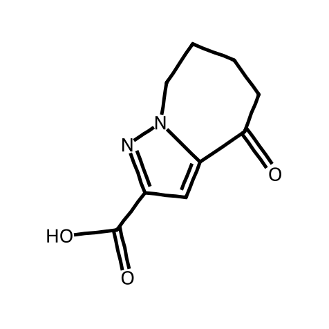 O=C(O)c1cc2n(n1)CCCCC2=O